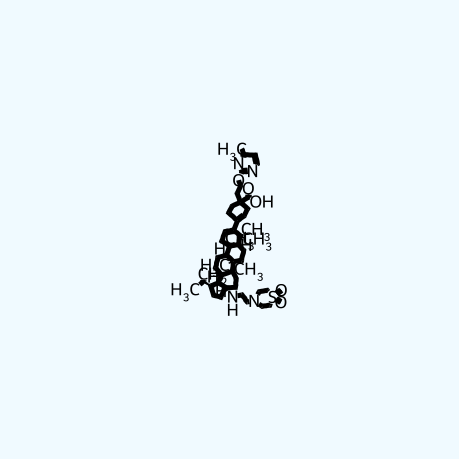 C=C(C)[C@@H]1CCC2(NCCN3CCS(=O)(=O)CC3)CC[C@]3(C)[C@H](CC[C@@H]4[C@@]5(C)CC=C(C6=CCC(CCOc7nccc(C)n7)(C(=O)O)CC6)C(C)(C)[C@@H]5CC[C@]43C)[C@@H]12